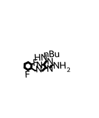 CCCCNc1nc(N)nc2cn(Cc3c(F)cccc3F)nc12